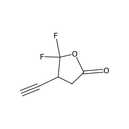 C#CC1CC(=O)OC1(F)F